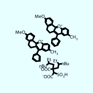 CCCCC(CC)CC(CC(CC)CCCC)(C(=O)[O-])C(C(=O)[O-])S(=O)(=O)O.COc1ccc2c(c1)CCc1c-2[o+]c2ccc(C)cc2c1-c1ccccc1.COc1ccc2c(c1)CCc1c-2[o+]c2ccc(C)cc2c1-c1ccccc1